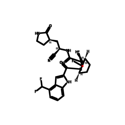 N#C[C@@H](C[C@H]1CCNC1=O)NC(=O)[C@@H]1[C@H]2CC[C@H](CC2(F)F)N1C(=O)c1cc2c(C(F)F)cccc2[nH]1